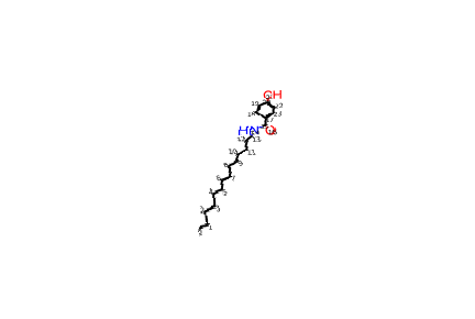 CCCCCCCCCCCCCCNC(=O)c1ccc(O)cc1